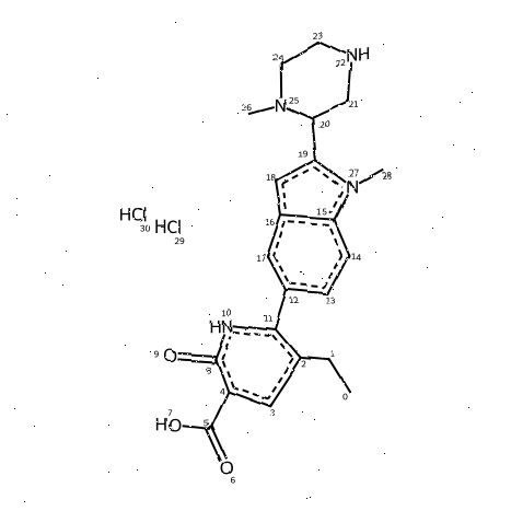 CCc1cc(C(=O)O)c(=O)[nH]c1-c1ccc2c(c1)cc(C1CNCCN1C)n2C.Cl.Cl